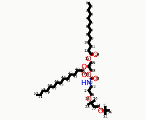 CCCCCCCCCCCCCC(=O)OCC(COC(=O)NCCCOC(C)(C)CCOC(C)(C)C)OC(=O)CCCCCCCCCCCCC